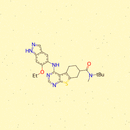 CCOc1cc2[nH]ncc2cc1Nc1ncnc2sc3c(c12)CCC(C(=O)N(C)C(C)(C)C)C3